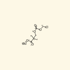 CC(C)(C)OC(=O)C(C)(C)COC(=O)OCCl